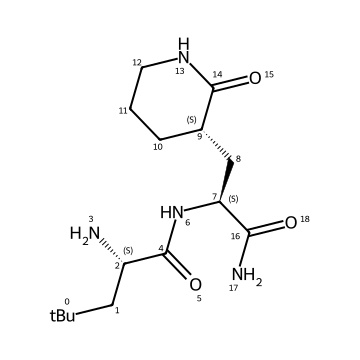 CC(C)(C)C[C@H](N)C(=O)N[C@@H](C[C@@H]1CCCNC1=O)C(N)=O